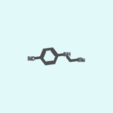 CC(C)(C)CNc1ccc(C#N)cc1